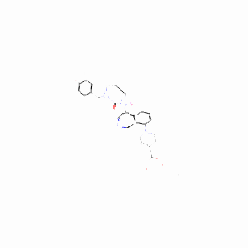 COc1ccc(CN2CC=C[N+]([O-])(c3cncc4c(N5CCC(C(OC)OC)CC5)cccc34)C2=O)cc1